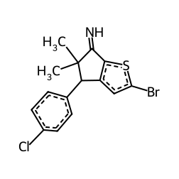 CC1(C)C(=N)c2sc(Br)cc2C1c1ccc(Cl)cc1